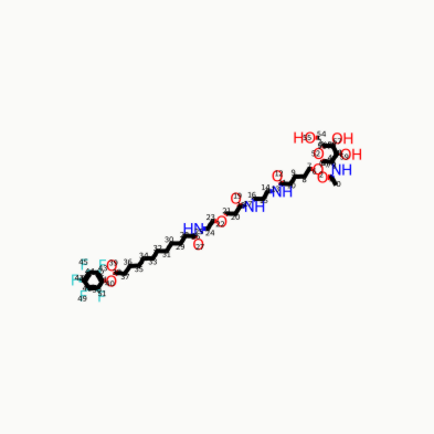 CC(=O)N[C@H]1[C@H](OCCCCC(=O)NCCCNC(=O)CCOCCNC(=O)CCCCCCCCCCC(=O)Oc2c(F)c(F)c(F)c(F)c2F)O[C@H](CO)[C@H](O)[C@@H]1O